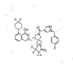 O=C(O)c1c(COC[C@@H]2CN(C(=O)c3cnn(Cc4ccc(F)cc4)c3)CC23CN(C(=O)C2(C(F)(F)F)CC2)C3)cccc1C1CCC(F)(F)CC1